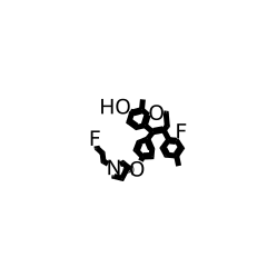 Cc1ccc(C2=C(c3ccc(O[C@H]4CCN(CCCF)C4)cc3)c3ccc(O)c(C)c3OCC2)c(F)c1